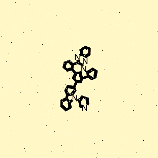 c1cncc(-n2c3ccccc3c3ccc(-c4cc5c6c(c4)c4ccccc4n6-c4nc6ccccc6nc4-c4ccccc4-5)cc32)c1